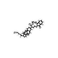 CC(C)CCC[C@@H](C)C1CC[C@H]2[C@H]3CC=C4C[C@@H](N(CCCN5C(=O)c6ccccc6C5=O)C(=O)OC(C)(C)C)CCC4(C)C3CCC12C